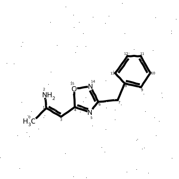 CC(N)=Cc1nc(Cc2ccccc2)no1